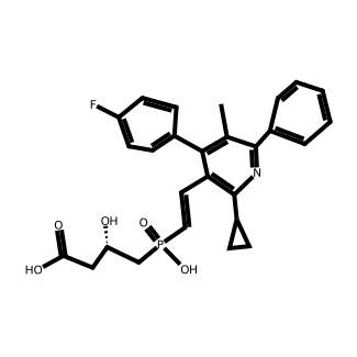 Cc1c(-c2ccccc2)nc(C2CC2)c(C=CP(=O)(O)C[C@@H](O)CC(=O)O)c1-c1ccc(F)cc1